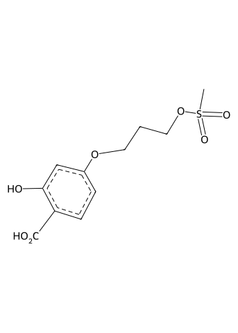 CS(=O)(=O)OCCCOc1ccc(C(=O)O)c(O)c1